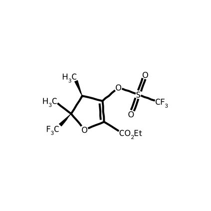 CCOC(=O)C1=C(OS(=O)(=O)C(F)(F)F)[C@H](C)[C@](C)(C(F)(F)F)O1